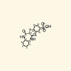 O=C1Nc2ccccc2NC(=O)C1Cc1ccc(S(=O)(=O)O)cc1